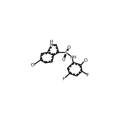 O=S(=O)(Nc1cc(F)cc(F)c1Cl)c1c[nH]c2cc(Cl)ccc12